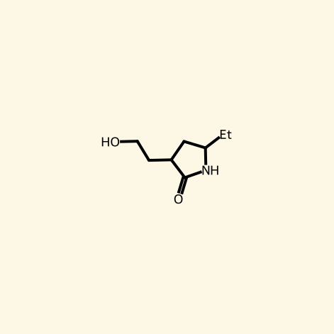 CCC1CC(CCO)C(=O)N1